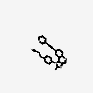 Cc1nc2cnc3ccc(C#Cc4cccnc4)cc3c2n1-c1ccc(CCC#N)cc1